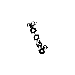 COc1ccccc1N1CCN([C@H]2CC[C@H](c3ccc([N+](=O)[O-])cc3)CC2)CC1